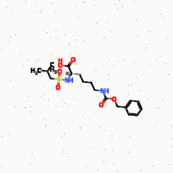 CC(C)CS(=O)(=O)N[C@@H](CCCCNC(=O)OCc1ccccc1)C(=O)O